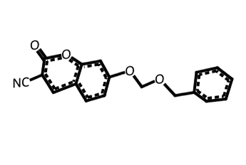 N#Cc1cc2ccc(OCOCc3ccccc3)cc2oc1=O